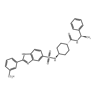 C[C@@H](NC(=O)[C@H]1CC[C@H](NS(=O)(=O)c2ccc3[nH]c(-c4cccc(C(=O)O)c4)nc3c2)CC1)c1ccccc1